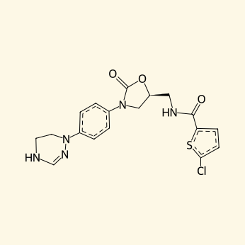 O=C(NC[C@H]1CN(c2ccc(N3CCNC=N3)cc2)C(=O)O1)c1ccc(Cl)s1